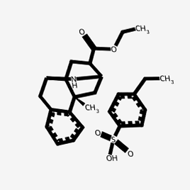 CCOC(=O)C1CC2C3Cc4ccccc4[C@@]2(C)CC1N3.CCc1ccc(S(=O)(=O)O)cc1